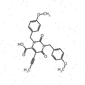 CC#Cc1c(C(=O)O)n(Cc2ccc(OC)cc2)c(=O)n(Cc2ccc(OC)cc2)c1=O